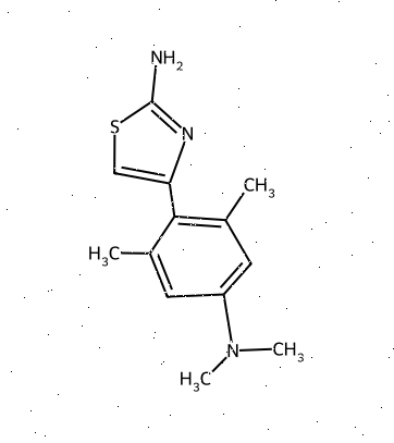 Cc1cc(N(C)C)cc(C)c1-c1csc(N)n1